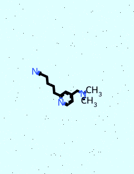 CN(C)Cc1ccnc(CCCCC#N)c1